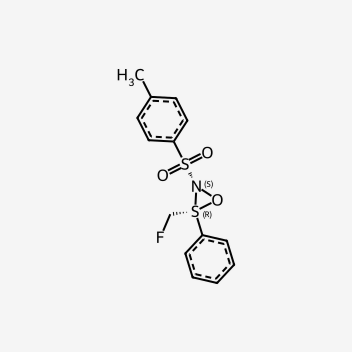 Cc1ccc(S(=O)(=O)[N@]2O[S@@]2(CF)c2ccccc2)cc1